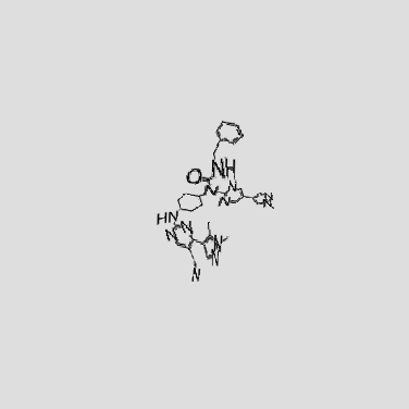 Cc1c(-c2nc(N[C@H]3CC[C@H](N(C(=O)NCc4ccccc4)c4ncc(-c5cnn(C)c5)cn4)CC3)ncc2C#N)cnn1C